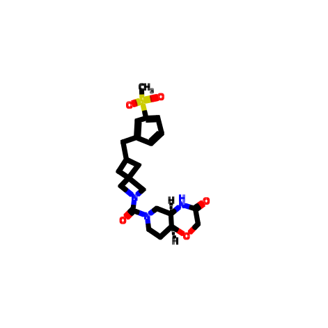 CS(=O)(=O)c1cccc(CC2CC3(C2)CN(C(=O)N2CC[C@@H]4OCC(=O)N[C@@H]4C2)C3)c1